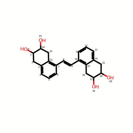 OC1Cc2cccc(/C=C/c3cccc4c3CC(O)C(O)C4)c2CC1O